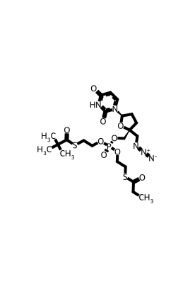 CCC(=O)SCCOP(=O)(OCCSC(=O)C(C)(C)C)OC[C@]1(CN=[N+]=[N-])CC[C@H](n2ccc(=O)[nH]c2=O)O1